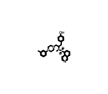 Cc1cccc(N2CCN(CC(Cc3ccc(O)cc3)N(C)S(=O)(=O)c3cccc4cnccc34)CC2)c1